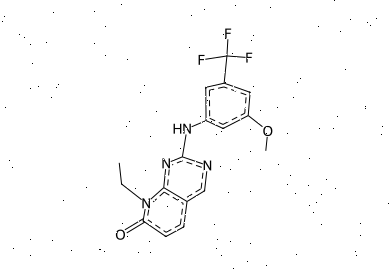 CCn1c(=O)ccc2cnc(Nc3cc(OC)cc(C(F)(F)F)c3)nc21